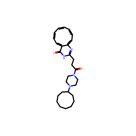 O=C(CCc1nc2ccccccccc2c(=O)[nH]1)N1CCN(C2CCCCCCCC2)CC1